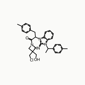 Cc1ccc(CC(C(=O)N2CC(CO)(CCl)C2)n2c(=N)n(C(C)c3ccc(C)cc3)c3ccccc32)cc1